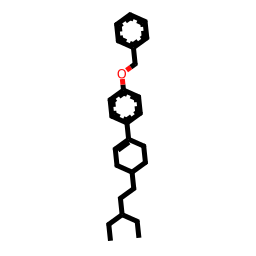 CCC(CC)CCC1CC=C(c2ccc(OCc3ccccc3)cc2)CC1